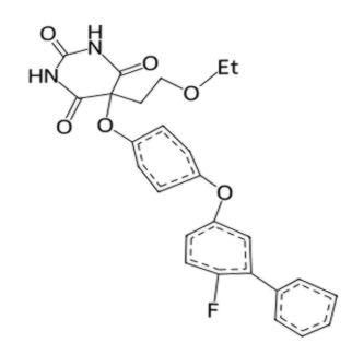 CCOCCC1(Oc2ccc(Oc3ccc(F)c(-c4ccccc4)c3)cc2)C(=O)NC(=O)NC1=O